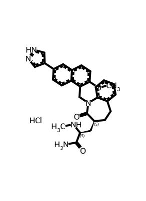 CN[C@@H](C[C@@H]1CCc2ccccc2N(Cc2c(OC)ccc3cc(-c4cn[nH]c4)ccc23)C1=O)C(N)=O.Cl